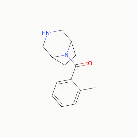 Cc1ccccc1C(=O)N1C2CCC1CNC2